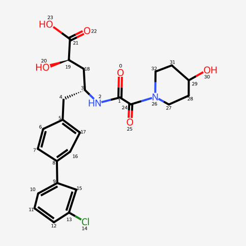 O=C(N[C@H](Cc1ccc(-c2cccc(Cl)c2)cc1)C[C@@H](O)C(=O)O)C(=O)N1CCC(O)CC1